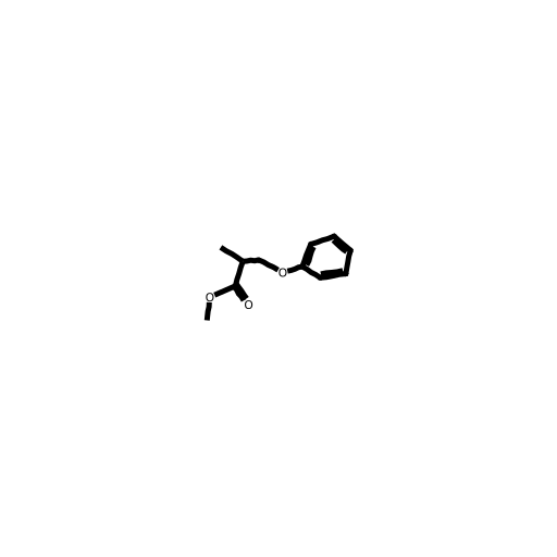 COC(=O)C(C)COc1ccccc1